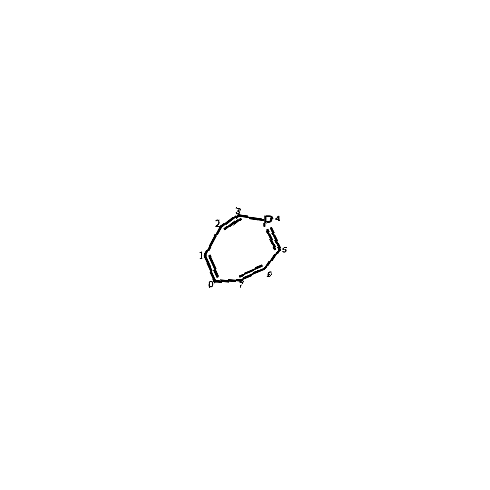 C1=CC=CP=CC=C1